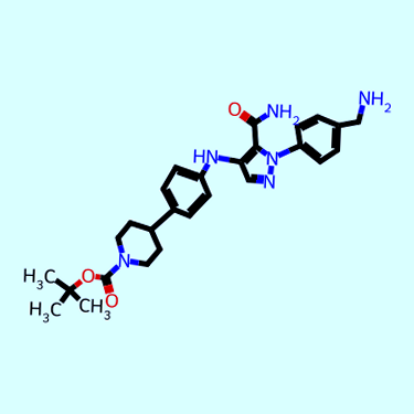 CC(C)(C)OC(=O)N1CCC(c2ccc(Nc3cnn(-c4ccc(CN)cc4)c3C(N)=O)cc2)CC1